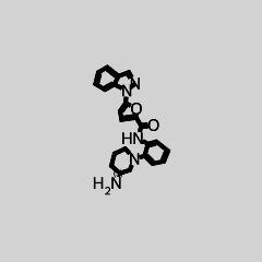 N[C@H]1CCCN(c2ccccc2NC(=O)c2ccc(-n3ncc4ccccc43)o2)C1